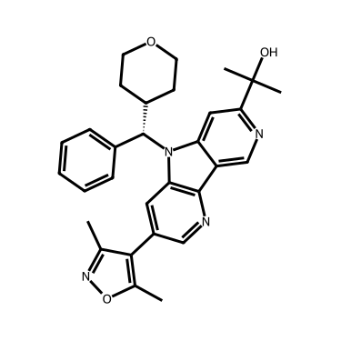 Cc1noc(C)c1-c1cnc2c3cnc(C(C)(C)O)cc3n([C@H](c3ccccc3)C3CCOCC3)c2c1